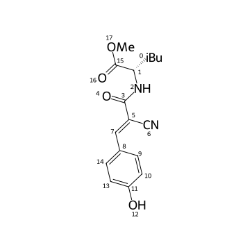 CCC(C)[C@H](NC(=O)/C(C#N)=C/c1ccc(O)cc1)C(=O)OC